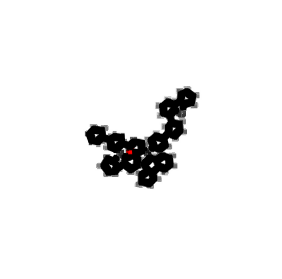 c1ccc(-c2ccc(-c3ccc(N(c4ccc(-c5cccc(-c6cccc7c6oc6ccccc67)c5)cc4)c4cc5ccccc5c5ccccc45)cc3)c(-n3c4ccccc4c4ccccc43)c2)cc1